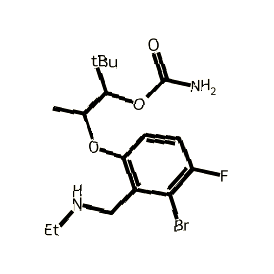 CCNCc1c(OC(C)C(OC(N)=O)C(C)(C)C)ccc(F)c1Br